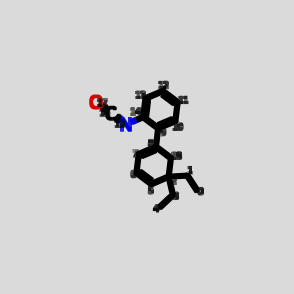 CCC1(CC)C=CC=C(c2ccccc2N=C=O)C1